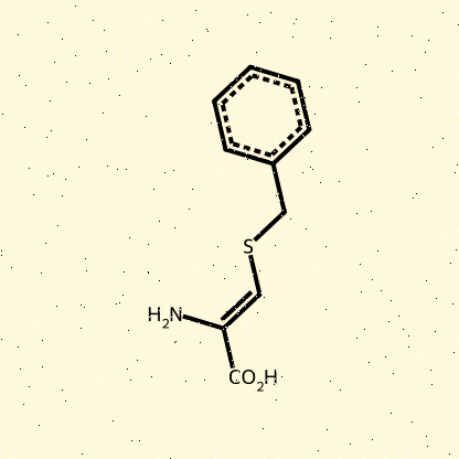 NC(=CSCc1ccccc1)C(=O)O